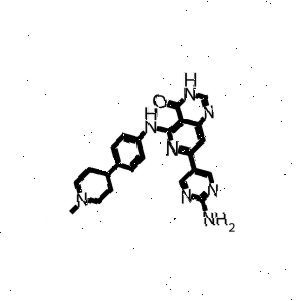 CN1CCC(c2ccc(Nc3nc(-c4cnc(N)nc4)cc4nc[nH]c(=O)c34)cc2)CC1